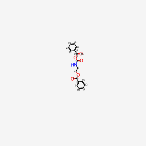 O=C(NCCOC(=O)c1ccccc1)OC(=O)c1ccccc1